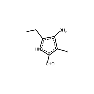 Bc1c(CI)[nH]c(C=O)c1I